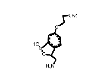 CC(=O)OCCOc1ccc2c(c1)B(O)OC2CN